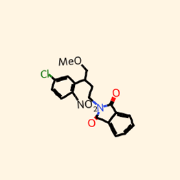 COCC(CCN1C(=O)c2ccccc2C1=O)c1cc(Cl)ccc1[N+](=O)[O-]